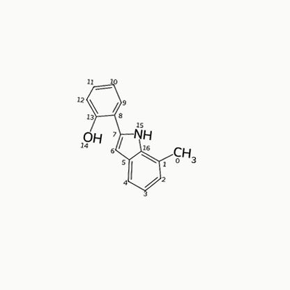 Cc1cccc2cc(-c3ccccc3O)[nH]c12